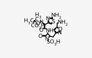 CC(C)(O/N=C(\C(=O)NC1C(=O)N(S(=O)(=O)O)C1Cc1cc(CN)on1)c1csc(N)n1)C(=O)O